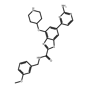 COc1cccc(CNC(=O)c2nc3c(OC4CCNCC4)cc(-c4ccnc(N)n4)cc3s2)c1